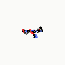 CC(C)c1ccccc1[C@@H]1CCCN1C1CC2(CCN(c3cnc(C(=O)NS(=O)(=O)c4ccc(NC[C@H]5COCCO5)c([N+](=O)[O-])c4)c(Oc4cnc5[nH]ccc5c4)c3)CC2)C1